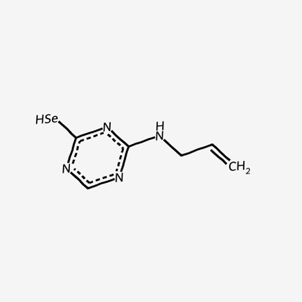 C=CCNc1ncnc([SeH])n1